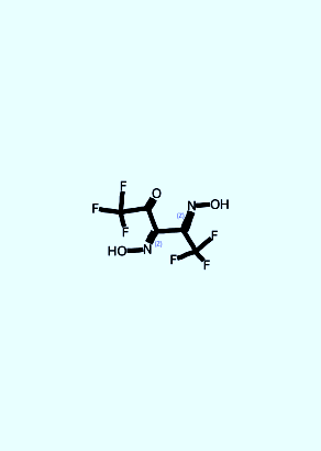 O=C(C(=N\O)/C(=N/O)C(F)(F)F)C(F)(F)F